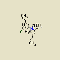 CCCCCC(CC)[N+](C)(C)C(CC)CCCCC.[Cl-]